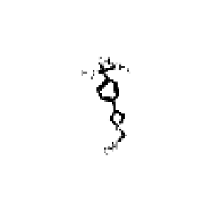 [C-]#[N+]CN1CC(c2ccc(C(C)(C)C)cc2)C1